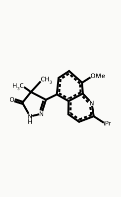 COc1ccc(C2=NNC(=O)C2(C)C)c2ccc(C(C)C)nc12